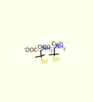 CC(C)(S)[C@@H](N)C(=O)[O-].CC(C)(S)[C@@H](N)C(=O)[O-].[Cu+2]